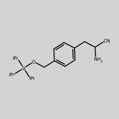 CC(C)[Si](OCc1ccc(CC(N)C#N)cc1)(C(C)C)C(C)C